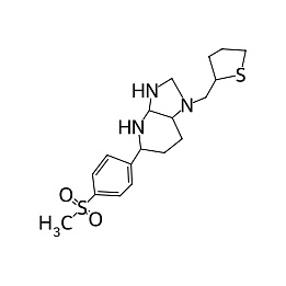 CS(=O)(=O)c1ccc(C2CCC3C(NCN3CC3CCCS3)N2)cc1